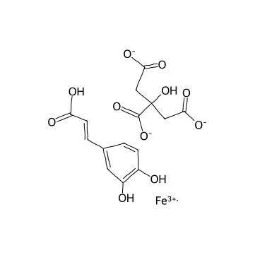 O=C(O)C=Cc1ccc(O)c(O)c1.O=C([O-])CC(O)(CC(=O)[O-])C(=O)[O-].[Fe+3]